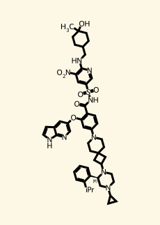 CC(C)c1ccccc1[C@@H]1CN(C2CC2)CCN1C1CC2(CCN(c3ccc(C(=O)NS(=O)(=O)c4cnc(NCC5CCC(C)(O)CC5)c([N+](=O)[O-])c4)c(Oc4cnc5[nH]ccc5c4)c3)CC2)C1